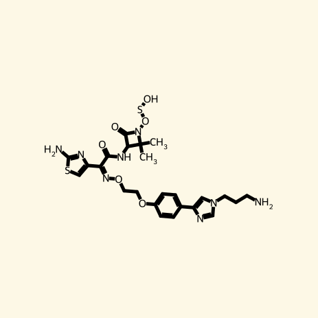 CC1(C)C(NC(=O)/C(=N\OCCOc2ccc(-c3cn(CCCN)cn3)cc2)c2csc(N)n2)C(=O)N1OSO